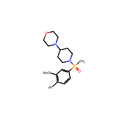 COc1cc(P(C)(=O)N2CCC(N3CCOCC3)CC2)ccc1C(C)C